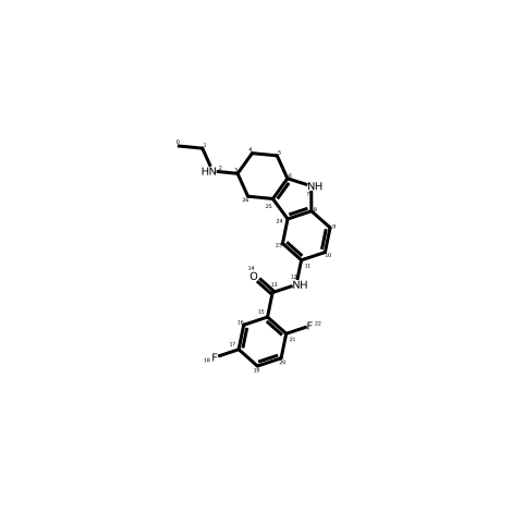 CCNC1CCc2[nH]c3ccc(NC(=O)c4cc(F)ccc4F)cc3c2C1